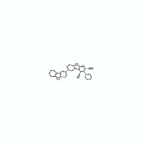 N#Cc1nc2oc3ccc(-c4ccc5oc6ccccc6c5c4)cc3c2c(C#N)c1-c1ccccc1